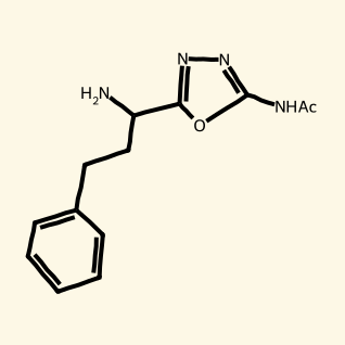 CC(=O)Nc1nnc(C(N)CCc2ccccc2)o1